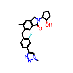 Cc1cc2c(cc1Cc1ccc(-c3cn(C)nn3)cc1F)C(=O)N(C1CCCC1O)C2